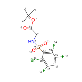 CC(C)(C)OC(=O)CNS(=O)(=O)c1c(F)c(F)cc(F)c1Br